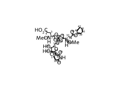 CON[C@@H](CCC(=O)O)C(=O)OP(=O)(OC[C@H]1O[C@@H](n2ccc(=O)[nH]c2=O)[C@](C)(O)[C@@H]1O)OC(=O)[C@H](CCC(=O)Oc1ccccc1)NOC